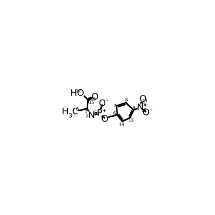 CC(/N=[P+](\[O-])Oc1ccc([N+](=O)[O-])cc1)C(=O)O